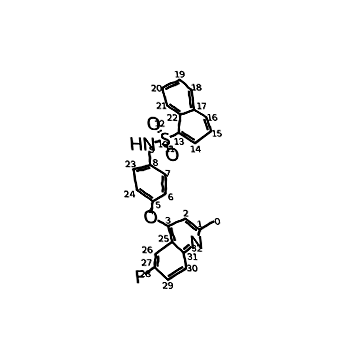 Cc1cc(Oc2ccc(NS(=O)(=O)c3cccc4ccccc34)cc2)c2cc(F)ccc2n1